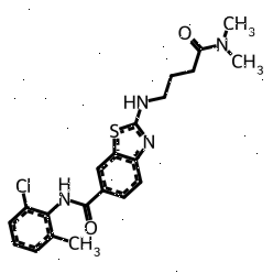 Cc1cccc(Cl)c1NC(=O)c1ccc2nc(NCCCC(=O)N(C)C)sc2c1